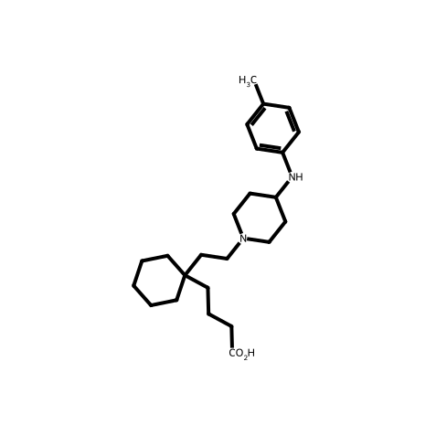 Cc1ccc(NC2CCN(CCC3(CCCC(=O)O)CCCCC3)CC2)cc1